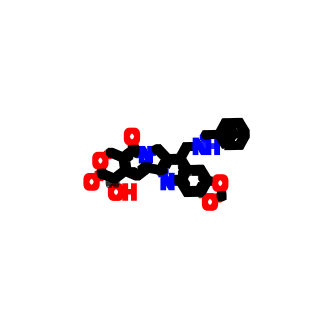 CC1(C)C2CCC(CNCc3c4c(nc5cc6c(cc35)OCO6)-c3cc5c(c(=O)n3C4)COC(=O)[C@H]5O)C1C2